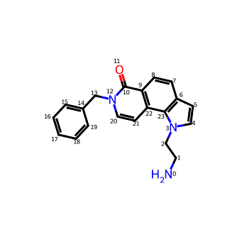 NCCn1ccc2ccc3c(=O)n(Cc4ccccc4)ccc3c21